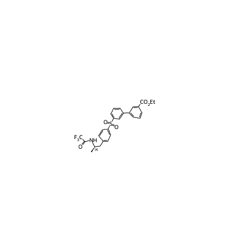 CCOC(=O)c1cccc(-c2cccc(S(=O)(=O)c3ccc(C[C@@H](C)NC(=O)C(F)(F)F)cc3)c2)c1